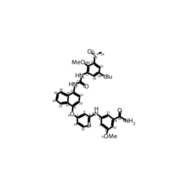 COc1cc(Nc2cc(Oc3ccc(NC(=O)Nc4cc(C(C)(C)C)cc([S+](C)[O-])c4OC)c4ccccc34)ccn2)cc(C(N)=O)c1